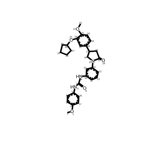 COc1ccc(NC(=O)Nc2cccc(N3CC(c4ccc(OC)c(OC5CCCC5)c4)CC3=O)c2)cc1